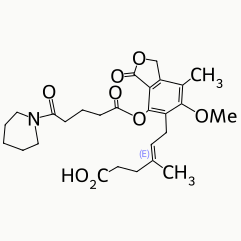 COc1c(C)c2c(c(OC(=O)CCCC(=O)N3CCCCC3)c1C/C=C(\C)CCC(=O)O)C(=O)OC2